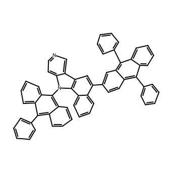 c1ccc(-c2c3ccccc3c(-c3ccccc3)c3cc(-c4cc5c6cnccc6n(-c6c7ccccc7c(-c7ccccc7)c7ccccc67)c5c5ccccc45)ccc23)cc1